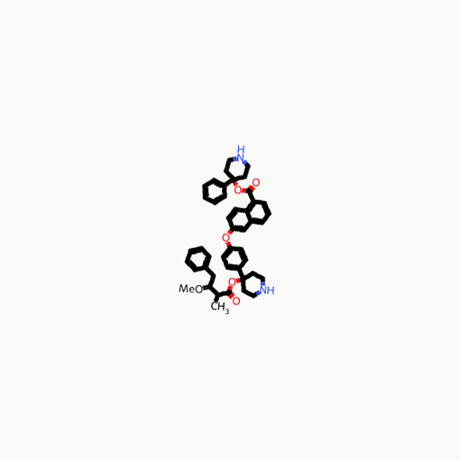 COC(Cc1ccccc1)C(C)C(=O)OC1(c2ccc(Oc3ccc4c(C(=O)OC5(c6ccccc6)CCNCC5)cccc4c3)cc2)CCNCC1